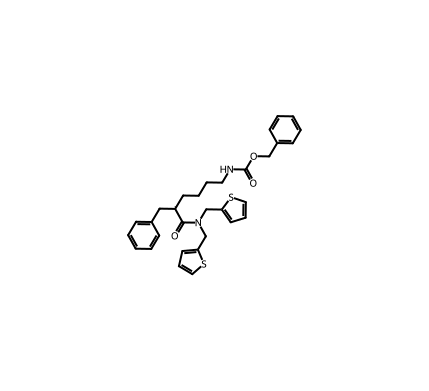 O=C(NCCCC[C](Cc1ccccc1)C(=O)N(Cc1cccs1)Cc1cccs1)OCc1ccccc1